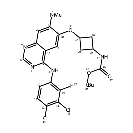 CNc1cc2ncnc(Nc3ccc(Cl)c(Cl)c3F)c2cc1OC1CC(NC(=O)OC(C)(C)C)C1